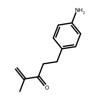 C=C(C)C(=O)CCc1ccc(N)cc1